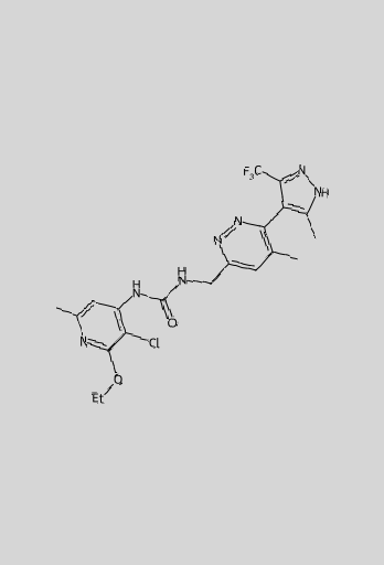 CCOc1nc(C)cc(NC(=O)NCc2cc(C)c(-c3c(C(F)(F)F)n[nH]c3C)nn2)c1Cl